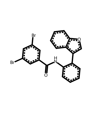 O=C(Nc1ccccc1-c1coc2ccccc12)c1cc(Br)cc(Br)c1